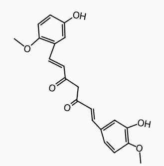 COc1ccc(C=CC(=O)CC(=O)C=Cc2cc(O)ccc2OC)cc1O